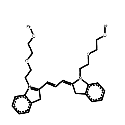 CCOCCOCCN1/C(=C/C=C/C2=[N+](CCOCCOCC)c3ccccc3C2)Cc2ccccc21